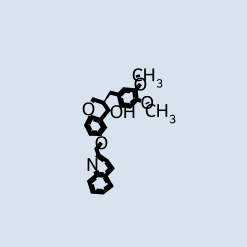 COc1ccc(C[C@@H]2COc3ccc(OCc4ccc5ccccc5n4)cc3[C@H]2O)cc1OC